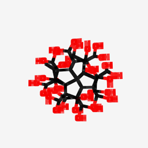 CC(O)C(C(O)O)[C@H](C(C(O)O)C(O)O)C(C(C(C(O)O)C(O)O)C(C(O)O)C(O)O)(C(C(C(O)O)C(O)O)C(C(O)O)C(O)O)C(C(C(O)O)C(O)O)C(C(O)O)C(O)O